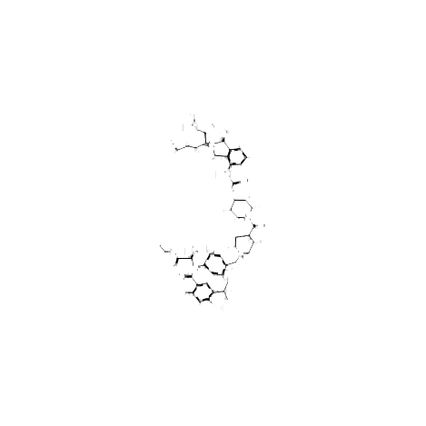 CCNC(=O)C(=N)N(C(=N)c1cc(C(C)C)c(O)cc1O)c1ccc(CN2CCC(C(=O)N3CCC(OC(=O)Nc4cccc5c4CN(C(CCC=O)C(=O)NC)C5=O)CC3)CC2)cc1